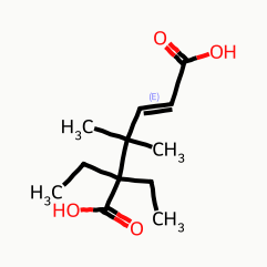 CCC(CC)(C(=O)O)C(C)(C)/C=C/C(=O)O